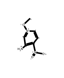 CO[n+]1ccc([N+](=O)[O-])c(N)c1